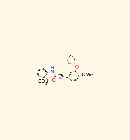 COC1C=CC(/C=C/C(=O)Nc2ccccc2C(=O)O)=CC1OC1CCCC1